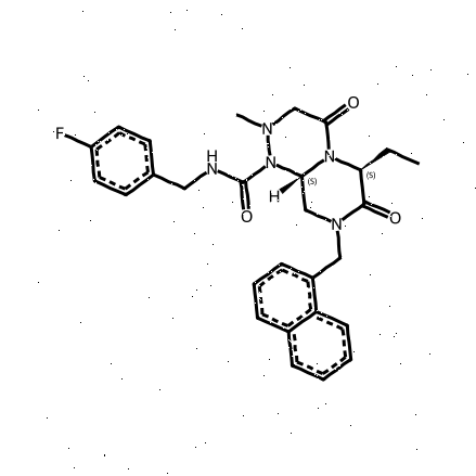 CC[C@H]1C(=O)N(Cc2cccc3ccccc23)C[C@H]2N1C(=O)CN(C)N2C(=O)NCc1ccc(F)cc1